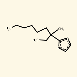 CCCCCCC(C)(CC)c1nccs1